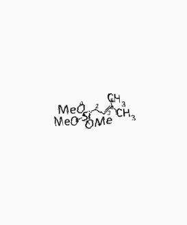 CO[Si](CC=C(C)C)(OC)OC